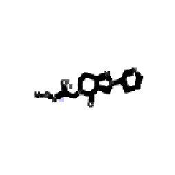 CO/N=C(/CN1CCc2nn(-c3cccnc3)cc2C1=O)C(F)(F)F